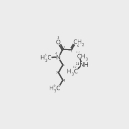 C=CC(=O)N(C)CCCC.CNC